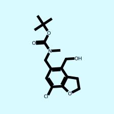 CN(Cc1cc(Cl)c2c(c1CO)CCO2)C(=O)OC(C)(C)C